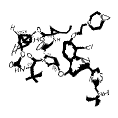 CCC1C[C@]1(NC(=O)[C@@H]1C[C@@H](Oc2cc(-c3csc(NC(C)C)n3)nc3c(Cl)c(OCCN4CCOCC4)ccc23)CN1C(=O)[C@@H](NC(=O)O[C@@H]1C[C@H]2[C@H]3C1[C@]32C)C(C)(C)C)C(=O)O